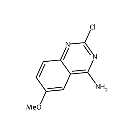 COc1ccc2nc(Cl)nc(N)c2c1